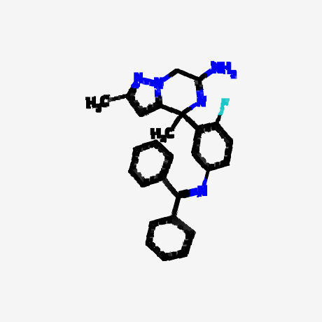 Cc1cc2n(n1)CC(N)=NC2(C)c1cc(N=C(c2ccccc2)c2ccccc2)ccc1F